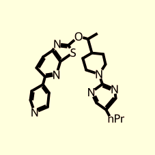 CCCc1cnc(N2CCC(C(C)Oc3nc4ccc(-c5ccncc5)nc4s3)CC2)nc1